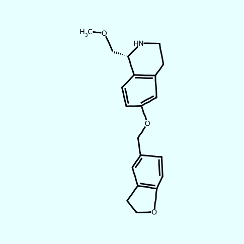 COC[C@@H]1NCCc2cc(OCc3ccc4c(c3)CCO4)ccc21